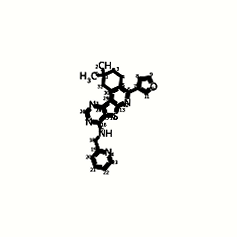 CC1(C)CCc2c(-c3ccoc3)nc3sc4c(NCc5ccccn5)ncnc4c3c2C1